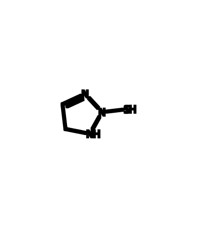 SN1N=CCN1